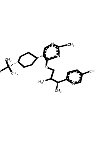 Cc1ccc([C@@H](C)C(C)COc2nc(C)ncc2[C@H]2CC[C@@H](C(C)(C)O)CC2)nc1